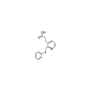 O=C(O)CCc1cccnc1CSc1ccccc1